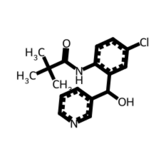 CC(C)(C)C(=O)Nc1ccc(Cl)cc1C(O)c1cccnc1